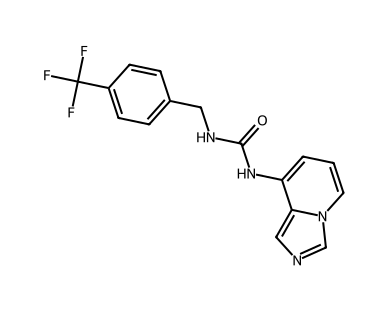 O=C(NCc1ccc(C(F)(F)F)cc1)Nc1cccn2cncc12